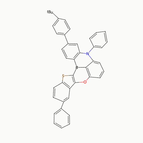 CC(C)(C)c1ccc(-c2ccc3c(c2)N(c2ccccc2)c2cccc4c2B3c2sc3ccc(-c5ccccc5)cc3c2O4)cc1